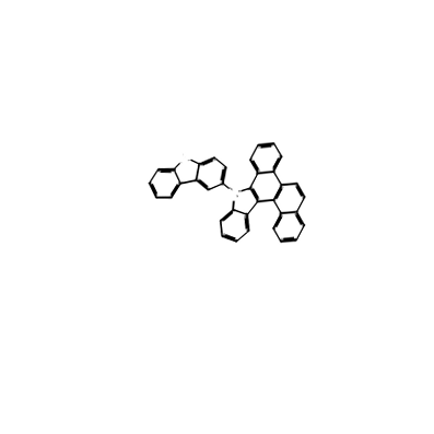 c1ccc2c(c1)ccc1c3ccccc3c3c(c4ccccc4n3-c3ccc4sc5ccccc5c4c3)c21